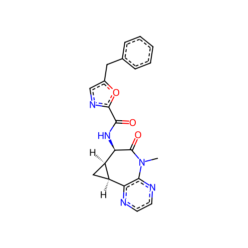 CN1C(=O)[C@H](NC(=O)c2ncc(Cc3ccccc3)o2)[C@@H]2C[C@@H]2c2nccnc21